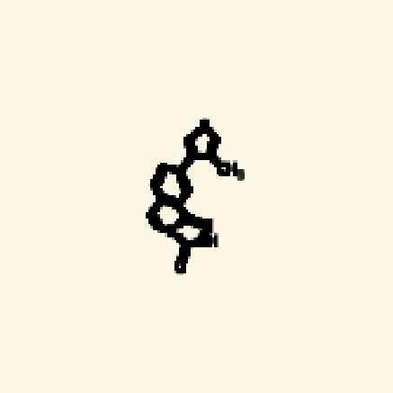 Cc1cscc1-c1ccc2ccn3c(=O)[nH]nc3c2c1